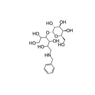 OCC(O)C(O[C@H]1O[C@H](CO)[C@H](O)[C@H](O)[C@H]1O)C(O)C(O)CNCc1ccccc1